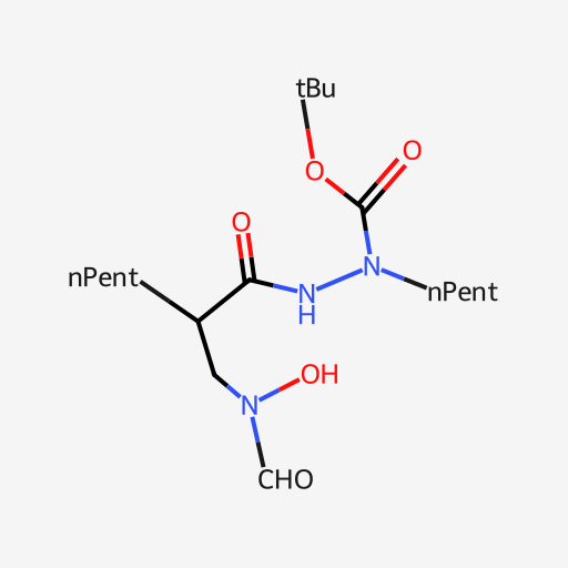 CCCCCC(CN(O)C=O)C(=O)NN(CCCCC)C(=O)OC(C)(C)C